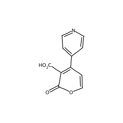 O=C(O)c1c(-c2ccncc2)ccoc1=O